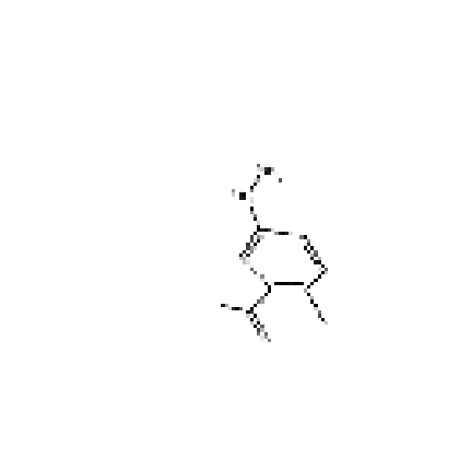 CC(=O)c1cc(NN)ccc1C